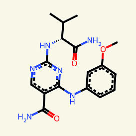 COc1cccc(Nc2nc(N[C@@H](C(N)=O)C(C)C)ncc2C(N)=O)c1